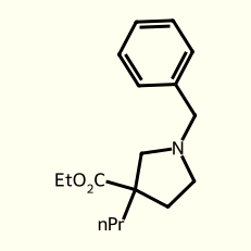 CCCC1(C(=O)OCC)CCN(Cc2ccccc2)C1